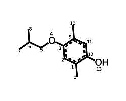 Cc1cc(OCC(C)C)c(C)cc1O